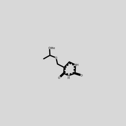 COC(C)OCc1c[nH]c(=O)[nH]c1=O